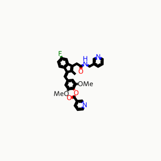 COc1cc(C=C2C(C)=C(CC(=O)NCc3cccnc3)c3cc(F)ccc32)cc(OC)c1OC(=O)c1cccnc1